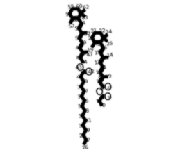 CCC(=O)OC(=O)/C=C(C)/C=C/C=C(C)/C=C/C1=C(C)CCCC1(C)C.CCCCCCCCCCCCCCCC(=O)OC/C=C(C)/C=C/C=C(C)/C=C/C1=C(C)CCCC1(C)C